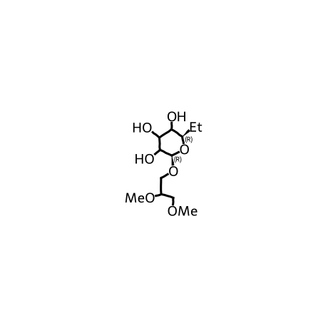 CC[C@H]1O[C@@H](OCC(COC)OC)C(O)C(O)C1O